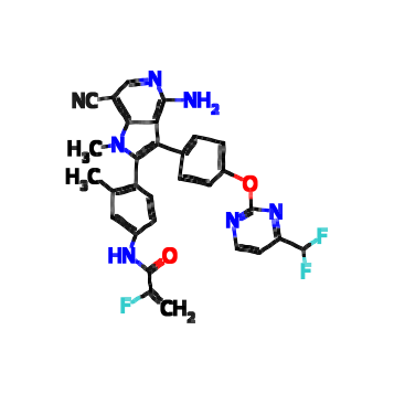 C=C(F)C(=O)Nc1ccc(-c2c(-c3ccc(Oc4nccc(C(F)F)n4)cc3)c3c(N)ncc(C#N)c3n2C)c(C)c1